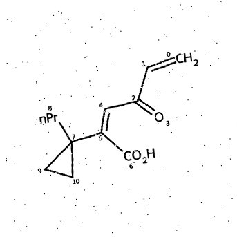 C=CC(=O)C=C(C(=O)O)C1(CCC)CC1